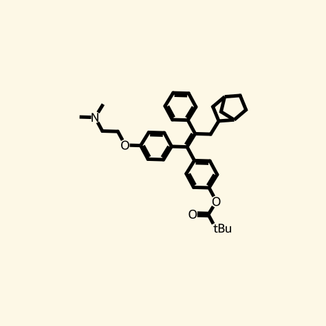 CN(C)CCOc1ccc(C(=C(CC2CC3CCC2C3)c2ccccc2)c2ccc(OC(=O)C(C)(C)C)cc2)cc1